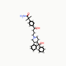 CC(C)(C(N)=O)c1ccc(C(O)CCCN2CCC(C(O)(c3ccccc3)c3ccccc3)CC2)cc1